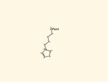 CCCCCCCCCN1C=CCS1